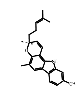 CC(C)=CCC[C@@]1(C)C=Cc2c(c(C)cc3c2[nH]c2cc(O)ccc23)O1